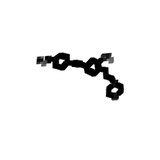 Nc1ccc(C#Cc2ccc(CCCN3CCOCC3)c(C(F)(F)F)c2)cc1